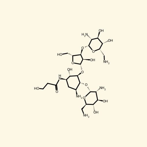 NC[C@@H]1O[C@H](O[C@H]2[C@@H](O)[C@H](O[C@@H]3[C@@H](O)[C@H](NC(=O)CCO)C[C@H](N)[C@H]3O[C@H]3O[C@H](CN)[C@@H](O)[C@H](O)[C@H]3N)O[C@@H]2CO)[C@H](N)[C@@H](O)[C@@H]1O